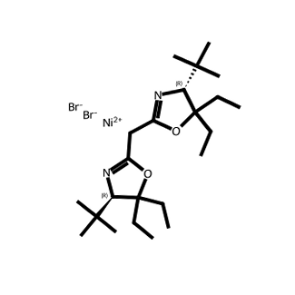 CCC1(CC)OC(CC2=N[C@H](C(C)(C)C)C(CC)(CC)O2)=N[C@@H]1C(C)(C)C.[Br-].[Br-].[Ni+2]